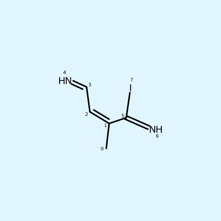 C/C(=C/C=N)C(=N)I